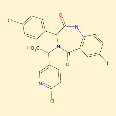 O=C(O)C(c1ccc(Cl)nc1)N1C(=O)c2cc(I)ccc2NC(=O)C1c1ccc(Cl)cc1